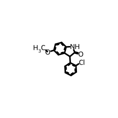 COc1ccc2c(c1)C(c1ccccc1Cl)C(=O)N2